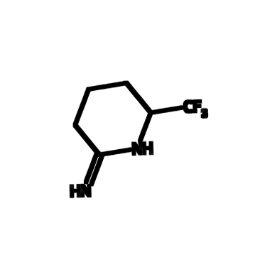 N=C1CCCC(C(F)(F)F)N1